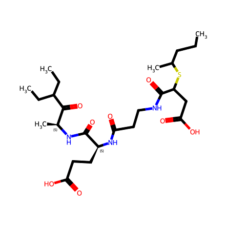 CCCC(C)SC(CC(=O)O)C(=O)NCCC(=O)N[C@@H](CCC(=O)O)C(=O)N[C@@H](C)C(=O)C(CC)CC